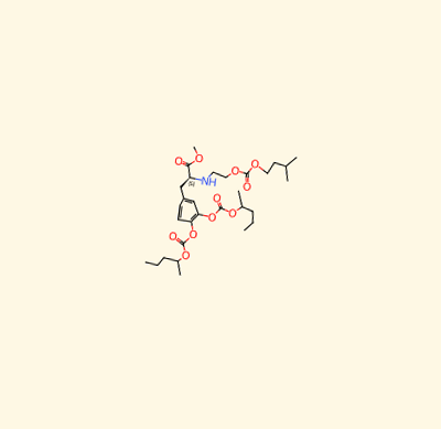 CCCC(C)OC(=O)Oc1ccc(C[C@H](NCCOC(=O)OCCC(C)C)C(=O)OC)cc1OC(=O)OC(C)CCC